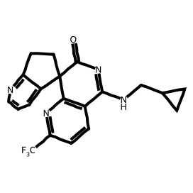 O=C1N=C(NCC2CC2)c2ccc(C(F)(F)F)nc2C12CCc1ncccc12